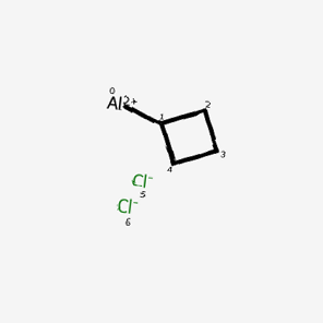 [Al+2][CH]1CCC1.[Cl-].[Cl-]